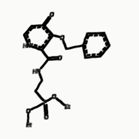 CCOP(=O)(CCNC(=O)c1[nH]ccc(=O)c1OCc1ccccc1)OCC